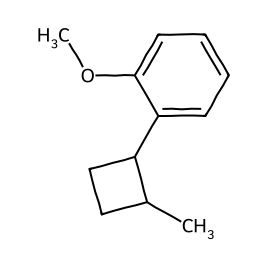 COc1ccccc1C1CCC1C